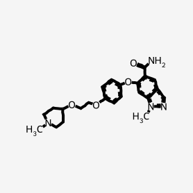 CN1CCC(OCCOc2ccc(Oc3cc4c(cnn4C)cc3C(N)=O)cc2)CC1